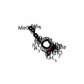 CC[C@H]1OC(=O)[C@H](C)[C@@H](O[C@H]2C[C@@](C)(OC)[C@@H](O)[C@H](C)O2)[C@H](C)[C@@H](O[C@@H]2O[C@H](C)C[C@H](N(C)C)[C@H]2O)[C@](C)(OC)C[C@@H](C)C(NCCC(=O)Oc2ccc(-c3cc(=O)c4c(OC)cc(OC)cc4o3)cc2)[C@H](C)[C@@H](O)[C@]1(C)O